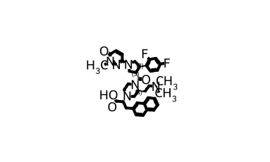 CN(C)CC[C@H]1CN(C(Cc2ccc3ccccc3c2)C(=O)O)CCN1C(=O)[C@@H]1CN(c2ccc(=O)n(C)n2)C[C@H]1c1ccc(F)cc1F